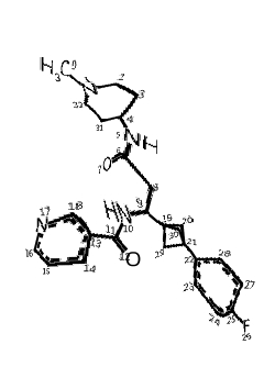 CN1CCC(NC(=O)CC(NC(=O)c2cccnc2)C23CC(c4ccc(F)cc4)(C2)C3)CC1